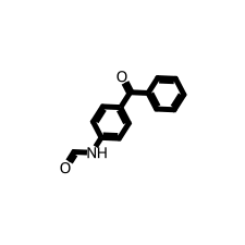 O=CNc1ccc(C(=O)c2ccccc2)cc1